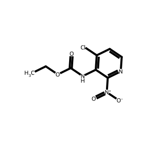 CCOC(=O)Nc1c(Cl)ccnc1[N+](=O)[O-]